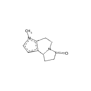 Cn1ccc2c1CCN1C(=O)CCC21